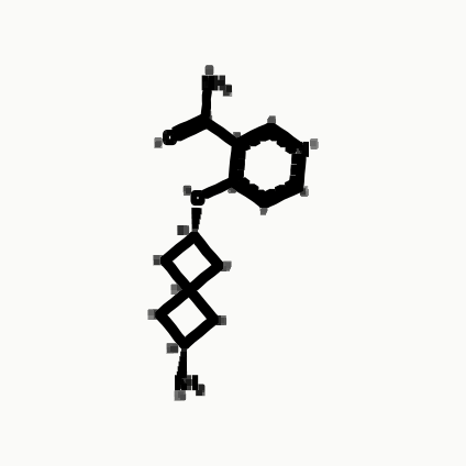 NC(=O)c1cnccc1O[C@H]1CC2(C[C@@H](N)C2)C1